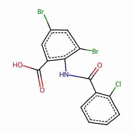 O=C(Nc1c(Br)cc(Br)cc1C(=O)O)c1ccccc1Cl